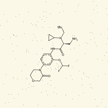 CC(C)(C)CN(C1CC1)[C@@H](CN)C(=O)Nc1ccc(N2CCOCC2=O)cc1OC(F)F